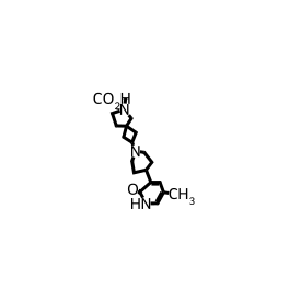 Cc1c[nH]c(=O)c(C2CCN(C3CC4(CCN(C(=O)O)C4)C3)CC2)c1